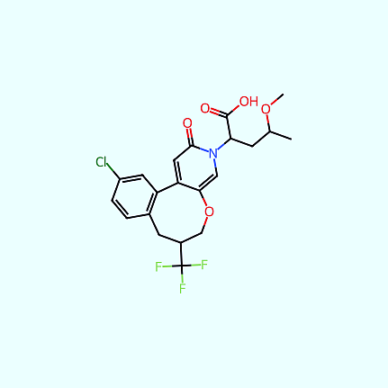 COC(C)CC(C(=O)O)n1cc2c(cc1=O)-c1cc(Cl)ccc1CC(C(F)(F)F)CO2